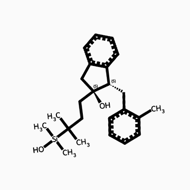 Cc1ccccc1C[C@H]1c2ccccc2C[C@@]1(O)CCC(C)(C)[Si](C)(C)O